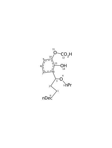 CCCCCCCCCCCCC(OCCC)c1cccc(OC(=O)O)c1O